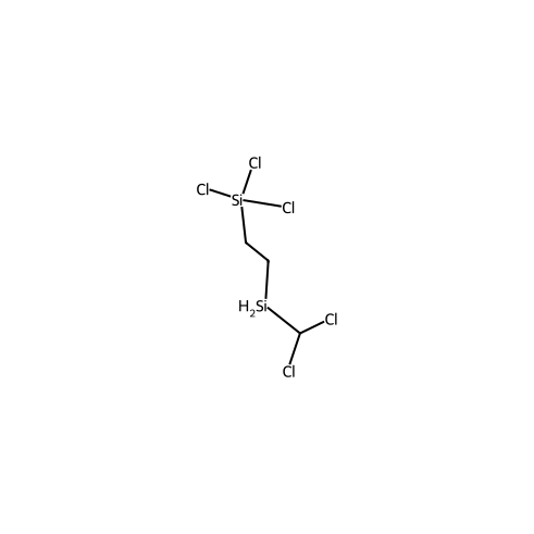 ClC(Cl)[SiH2]CC[Si](Cl)(Cl)Cl